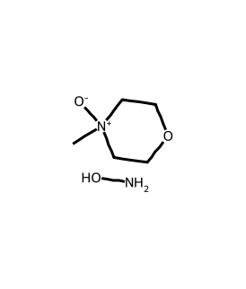 C[N+]1([O-])CCOCC1.NO